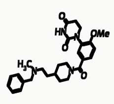 COc1ccc(C(=O)N2CCC(CCN(C)Cc3ccccc3)CC2)cc1N1CCC(=O)NC1=O